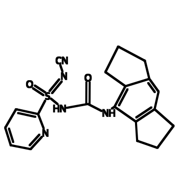 N#CN=S(=O)(NC(=O)Nc1c2c(cc3c1CCC3)CCC2)c1ccccn1